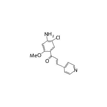 COc1cc(N)c(Cl)cc1C(=O)C=Cc1ccncc1